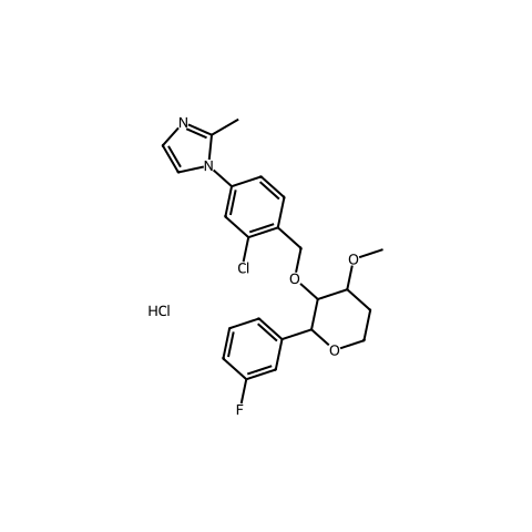 COC1CCOC(c2cccc(F)c2)C1OCc1ccc(-n2ccnc2C)cc1Cl.Cl